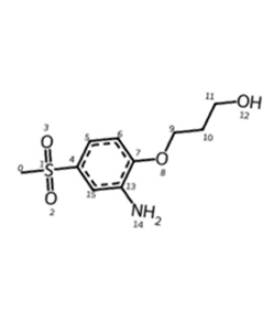 CS(=O)(=O)c1ccc(OCCCO)c(N)c1